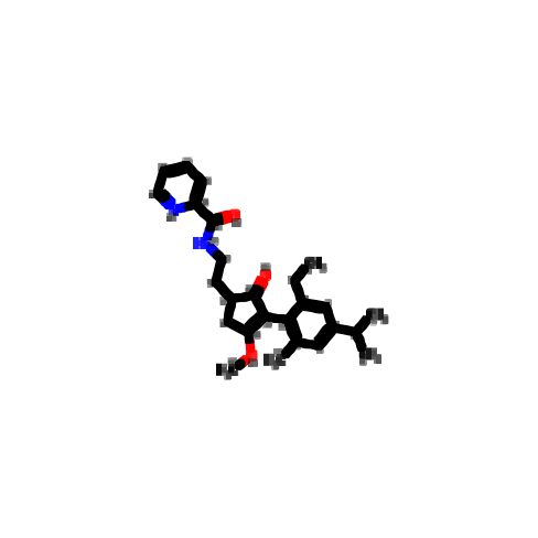 CCc1cc(C(C)C)cc(C)c1C1=C(OC)CC(CCNC(=O)c2ccccn2)C1=O